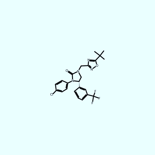 CC(C)(C)c1nc(CN2C[C@H](c3cccc(C(F)(F)F)c3)N(c3ccc(Cl)cc3)C2=O)no1